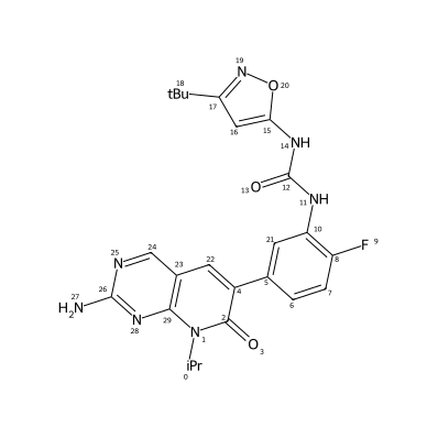 CC(C)n1c(=O)c(-c2ccc(F)c(NC(=O)Nc3cc(C(C)(C)C)no3)c2)cc2cnc(N)nc21